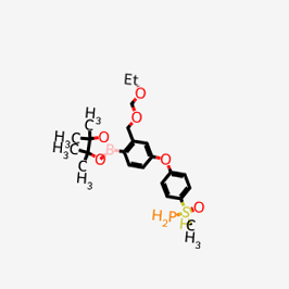 CCOCOCc1cc(Oc2ccc([SH](C)(=O)P)cc2)ccc1B1OC(C)(C)C(C)(C)O1